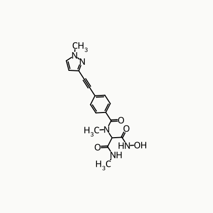 CNC(=O)C(C(=O)NO)N(C)C(=O)c1ccc(C#Cc2ccn(C)n2)cc1